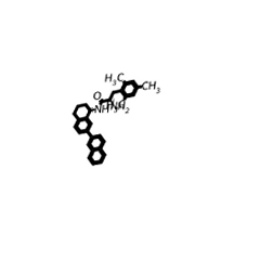 Cc1cc(C)c(C[C@H](N)C(=O)N[C@@H]2CCCc3ccc(-c4ccc5ccccc5c4)cc32)c(C)c1